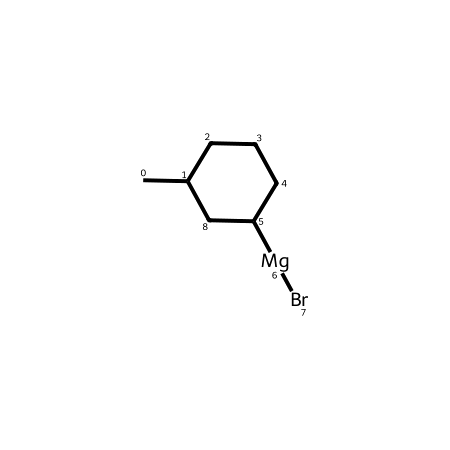 CC1CCC[CH]([Mg][Br])C1